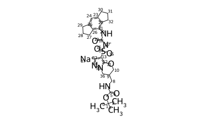 CC(C)(C)OC(=O)NCC1COc2c(S(=O)(=O)[N-]C(=O)Nc3c4c(cc5c3CCC5)CCC4)cnn2C1.[Na+]